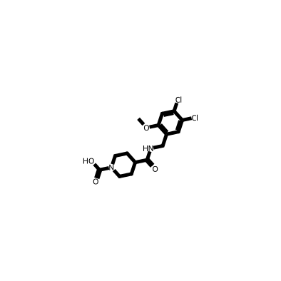 COc1cc(Cl)c(Cl)cc1CNC(=O)C1CCN(C(=O)O)CC1